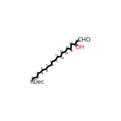 CCCCCCCCCCCCCCCCCCCCCCCCCCCC(O)CC=O